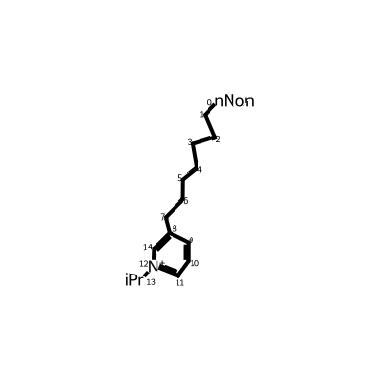 CCCCCCCCCCCCCCCCc1ccc[n+](C(C)C)c1